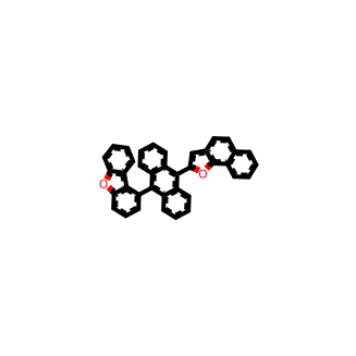 c1ccc2c(c1)ccc1cc(-c3c4ccccc4c(-c4cccc5oc6ccccc6c45)c4ccccc34)oc12